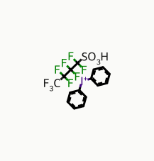 O=S(=O)(O)C(F)(F)C(F)(F)C(F)(F)C(F)(F)F.c1ccc([I+]c2ccccc2)cc1